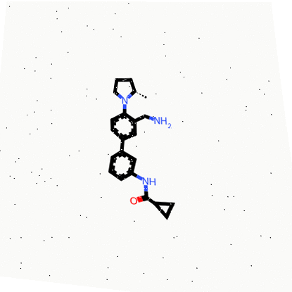 C[C@H]1CCCN1c1ccc(-c2cccc(NC(=O)C3CC3)c2)cc1CN